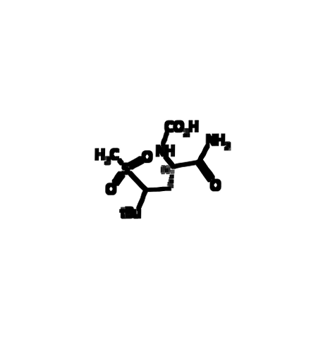 CC(C)(C)C(C[C@H](NC(=O)O)C(N)=O)S(C)(=O)=O